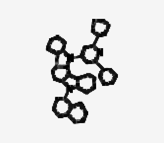 c1ccc(-c2cc(-n3c4ccccc4c4ccc5c(c6ccccc6n5-c5cccc6ccccc56)c43)cc(-c3ccccc3)n2)cc1